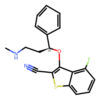 CNCC[C@H](Oc1c(C#N)sc2cccc(F)c12)c1ccccc1